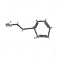 CC(C)(C)[CH]Cc1ccccn1